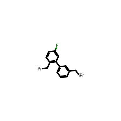 CC(C)Cc1cccc(-c2cc(F)ccc2CC(C)C)c1